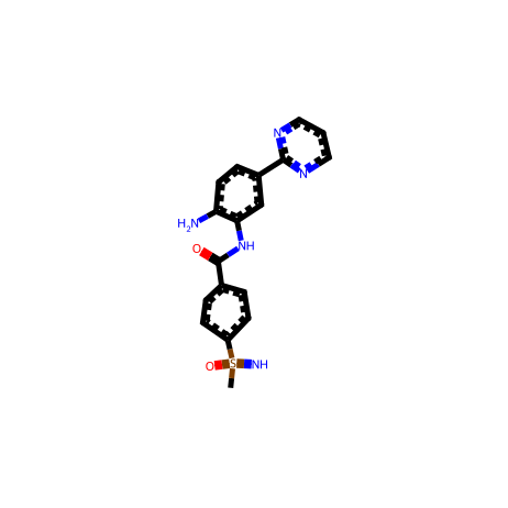 CS(=N)(=O)c1ccc(C(=O)Nc2cc(-c3ncccn3)ccc2N)cc1